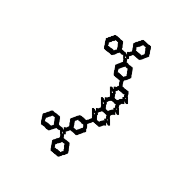 c1ccc(N(c2ccccc2)c2ccc(-c3cnc4nc5ncc(-c6ccc(N(c7ccccc7)c7ccccc7)cc6)nc5nc4n3)cc2)cc1